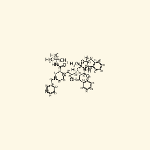 CC(C)(C)NC(=O)[C@@H]1CN(Cc2cccnc2)CCN1C[C@@H](O)C[C@@H](Cc1ccccc1)C(=O)N1[C@H]2c3ccccc3C[C@H]2OC1(C)C